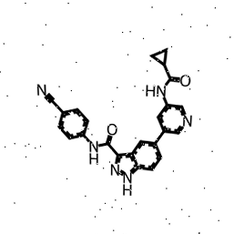 N#Cc1ccc(NC(=O)c2n[nH]c3ccc(-c4cncc(NC(=O)C5CC5)c4)cc23)cc1